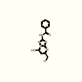 O=C(Nc1nc2nc(CCl)cc(O)n2n1)c1ccccc1